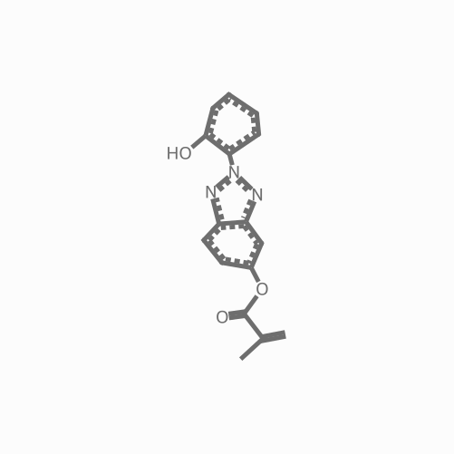 C=C(C)C(=O)Oc1ccc2nn(-c3ccccc3O)nc2c1